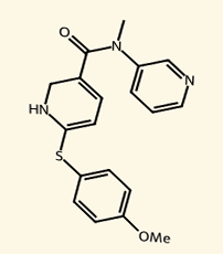 COc1ccc(SC2=CC=C(C(=O)N(C)c3cccnc3)CN2)cc1